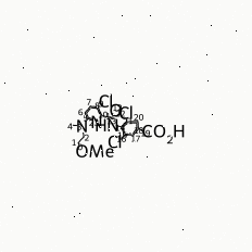 COCCN(C)c1ccc(Cl)c(C(=O)Nc2c(Cl)cc(C(=O)O)cc2Cl)n1